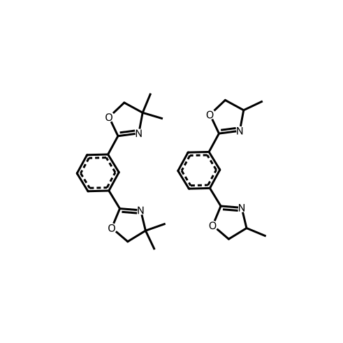 CC1(C)COC(c2cccc(C3=NC(C)(C)CO3)c2)=N1.CC1COC(c2cccc(C3=NC(C)CO3)c2)=N1